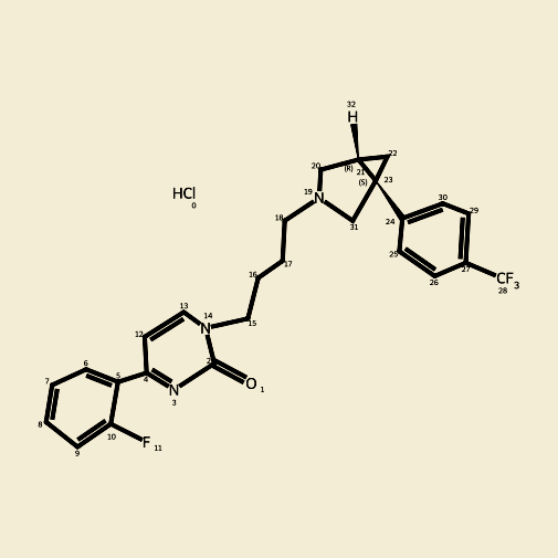 Cl.O=c1nc(-c2ccccc2F)ccn1CCCCN1C[C@@H]2C[C@]2(c2ccc(C(F)(F)F)cc2)C1